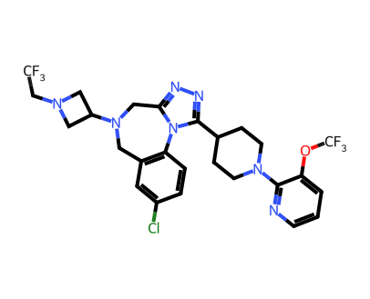 FC(F)(F)CN1CC(N2Cc3cc(Cl)ccc3-n3c(nnc3C3CCN(c4ncccc4OC(F)(F)F)CC3)C2)C1